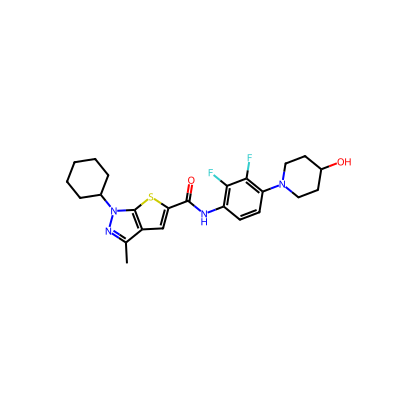 Cc1nn(C2CCCCC2)c2sc(C(=O)Nc3ccc(N4CCC(O)CC4)c(F)c3F)cc12